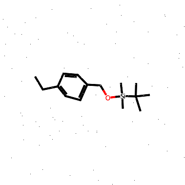 CCc1ccc(CO[Si](C)(C)C(C)(C)C)cc1